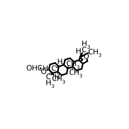 CC1(C)CC[C@]23CC[C@]4(C)C(CC[C@@H]5[C@@]6(C)CC[C@H](OC=O)C(C)(C)[C@@H]6CC[C@]54C)C2[C@H]1OC3